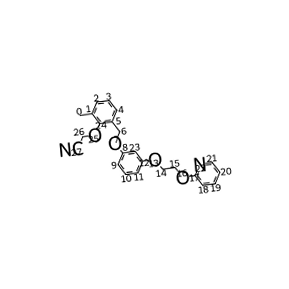 Cc1cccc(COc2cccc(OCCOc3ccccn3)c2)c1OCC#N